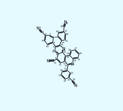 N#Cc1ccc(-c2nc3c(C#N)cc4c(-c5cccc(C#N)c5)nc5ccccc5c4c3nc2-c2ccc(C#N)cc2)cc1